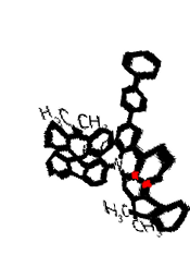 Cc1cc(-c2ccc(-c3ccccc3)cc2)cc(-c2ccccc2)c1N(c1ccc2c(c1)C(C)(C)c1ccccc1-2)c1ccc2c(c1)C1(c3ccccc3-2)c2ccccc2C(C)(C)c2ccccc21